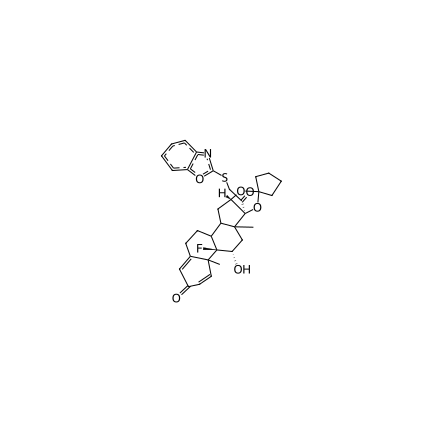 CC12C[C@H](O)[C@@]3(F)C(CCC4=CC(=O)C=CC43C)C1C[C@@H]1OC3(CCCC3)O[C@]12C(=O)CSc1nc2ccccc2o1